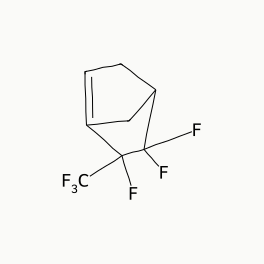 FC(F)(F)C1(F)C2=CCC(C2)C1(F)F